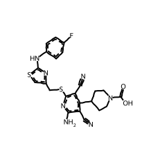 N#Cc1c(N)nc(SCc2csc(Nc3ccc(F)cc3)n2)c(C#N)c1C1CCN(C(=O)O)CC1